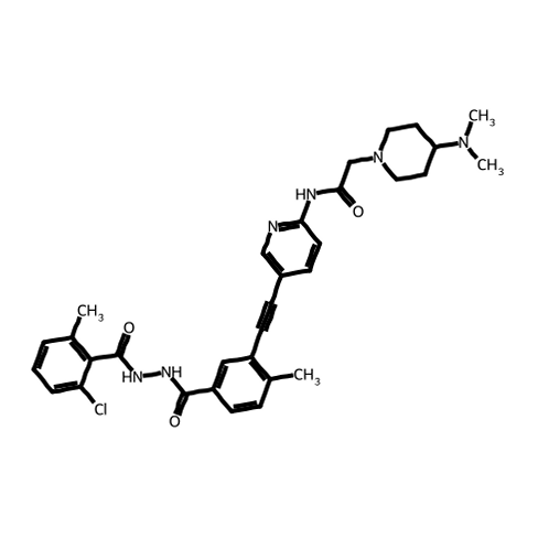 Cc1ccc(C(=O)NNC(=O)c2c(C)cccc2Cl)cc1C#Cc1ccc(NC(=O)CN2CCC(N(C)C)CC2)nc1